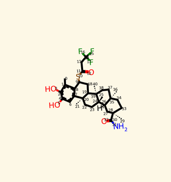 Cc1c(O)c(O)cc2c1C(SC(=O)CC(F)(F)F)CC1[C@@]2(C)CC[C@@]2(C)[C@@H]3C[C@](C)(C(N)=O)CC[C@]3(C)CC[C@]12C